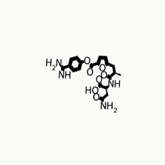 C[C@H](Cc1ccc(C(=O)Oc2ccc(C(=N)N)cc2)o1)C(=O)N[C@@H](CC(N)=O)C(=O)O